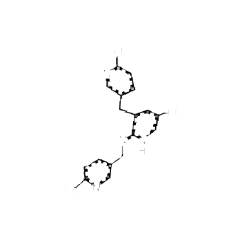 Clc1c[nH]c(=NCc2ccc(Cl)nc2)c(Cc2ccc(Cl)nc2)c1